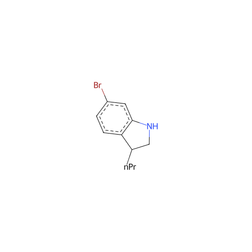 CCCC1CNc2cc(Br)ccc21